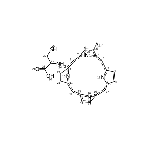 C1=Cc2cc3ccc(cc4nc(cc5ccc(cc1n2)[nH]5)C=C4)[nH]3.NC(CS)C(=O)O.[Au]